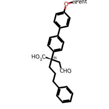 CCCCCOc1ccc(-c2ccc([C@](CC=O)(CCCc3ccccc3)C(=O)O)cc2)cc1